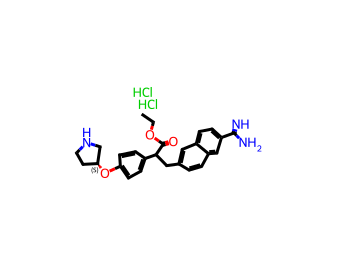 CCOC(=O)C(Cc1ccc2cc(C(=N)N)ccc2c1)c1ccc(O[C@H]2CCNC2)cc1.Cl.Cl